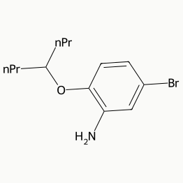 CCCC(CCC)Oc1ccc(Br)cc1N